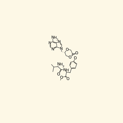 COC(=O)C(Cc1ccc(OP2(=O)CO[C@@H](Cn3cnc4c(N)ncnc43)CO2)cc1)NC(=O)[C@@H](N)C(C)C